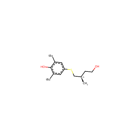 C[C@H](CCO)CSc1cc(C(C)(C)C)c(O)c(C(C)(C)C)c1